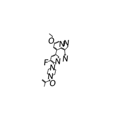 C=C(C)C(=O)N1CCN(c2ncc(-c3cc(OCC)cn4ncc(C#N)c34)cc2F)CC1